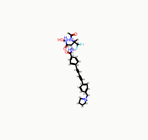 CC(=O)NC(C)(C(F)F)[C@H](NC(=O)c1ccc(C#CC#Cc2ccc(CN3CCCC3)cc2)cc1)C(=O)NO